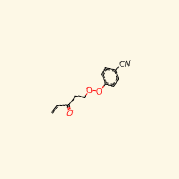 C=CC(=O)CCOOc1ccc(C#N)cc1